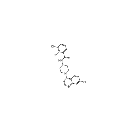 O=C(NC1CCN(c2ccnc3cc(Cl)ccc23)CC1)c1cccc(Cl)c1Cl